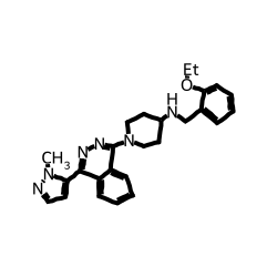 CCOc1ccccc1CNC1CCN(c2nnc(-c3ccnn3C)c3ccccc23)CC1